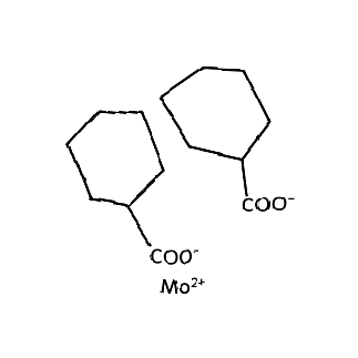 O=C([O-])C1CCCCC1.O=C([O-])C1CCCCC1.[Mo+2]